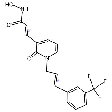 O=C(/C=C/c1cccn(C/C=C/c2cccc(C(F)(F)F)c2)c1=O)NO